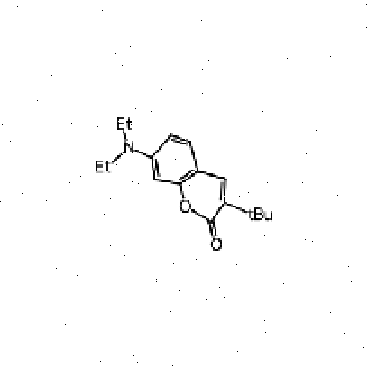 CCN(CC)c1ccc2cc(C(C)(C)C)c(=O)oc2c1